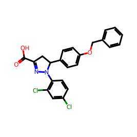 O=C(O)C1=NN(c2ccc(Cl)cc2Cl)C(c2ccc(OCc3ccccc3)cc2)C1